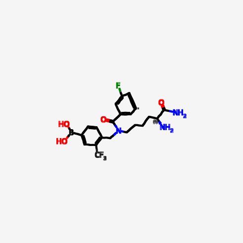 NC(=O)[C@@H](N)CCCCN(Cc1ccc(B(O)O)cc1C(F)(F)F)C(=O)c1c[c]cc(F)c1